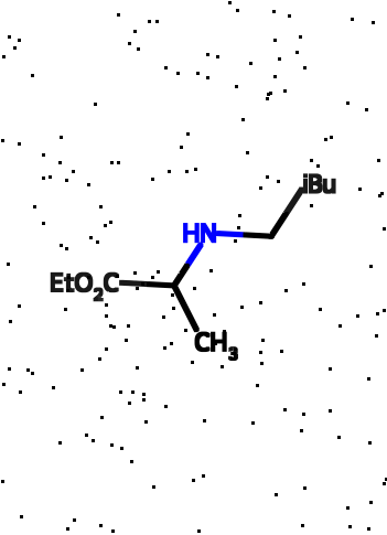 CCOC(=O)C(C)NCC(C)CC